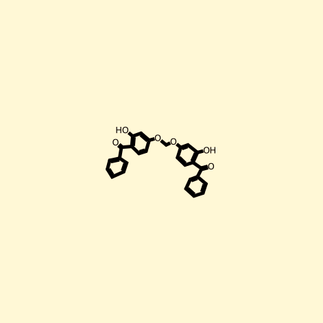 O=C(c1ccccc1)c1ccc(OCOc2ccc(C(=O)c3ccccc3)c(O)c2)cc1O